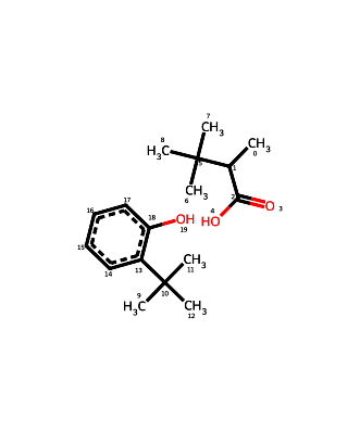 CC(C(=O)O)C(C)(C)C.CC(C)(C)c1ccccc1O